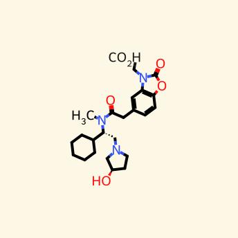 CN(C(=O)Cc1ccc2oc(=O)n(CC(=O)O)c2c1)[C@H](CN1CC[C@@H](O)C1)C1CCCCC1